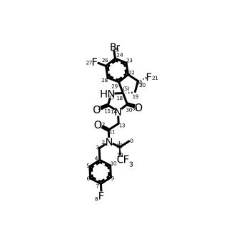 C[C@H](N(Cc1ccc(F)cc1)C(=O)CN1C(=O)N[C@]2(C[C@@H](F)c3cc(Br)c(F)cc32)C1=O)C(F)(F)F